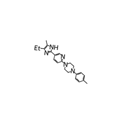 CCc1nc(-c2ccc(N3CCN(c4ccc(C)cc4)CC3)nc2)[nH]c1C